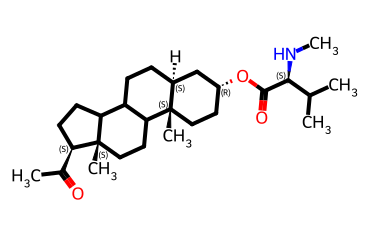 CN[C@H](C(=O)O[C@@H]1CC[C@]2(C)C3CC[C@@]4(C)C(CC[C@@H]4C(C)=O)C3CC[C@H]2C1)C(C)C